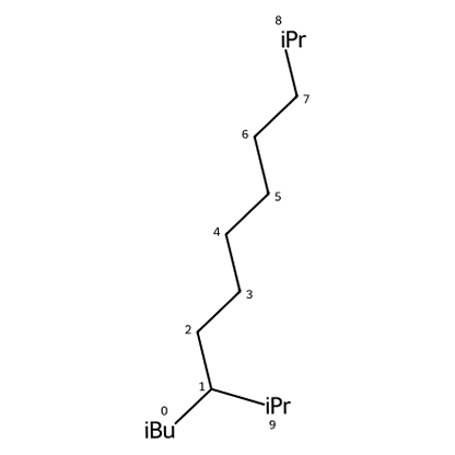 CCC(C)C(CCCCCCC(C)C)C(C)C